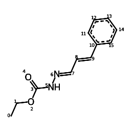 CCOC(=O)NN=C/C=C/c1ccccc1